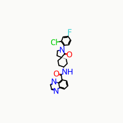 O=C(N[C@H]1CC[C@@]2(CCN(c3ccc(F)cc3Cl)C2=O)CC1)c1cccc2nccnc12